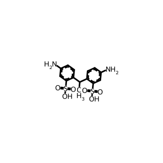 CC(c1ccc(N)cc1S(=O)(=O)O)c1ccc(N)cc1S(=O)(=O)O